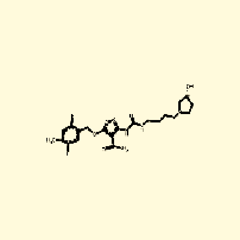 Cc1cc(F)c(COc2nsc(NC(=O)NCCCCN3CC[C@@H](O)C3)c2C(N)=O)cc1F